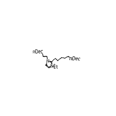 CCCCCCCCCCCCCCCc1n(CCCCCCCCCCCC)cc[n+]1CC